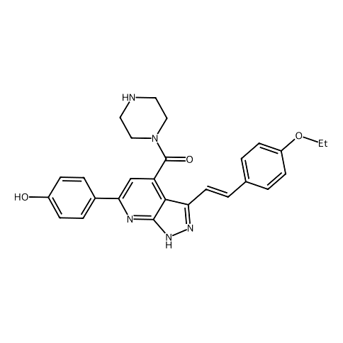 CCOc1ccc(C=Cc2n[nH]c3nc(-c4ccc(O)cc4)cc(C(=O)N4CCNCC4)c23)cc1